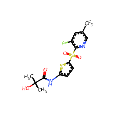 CC(C)(O)C(=O)Nc1ccc(S(=O)(=O)c2ncc(C(F)(F)F)cc2F)s1